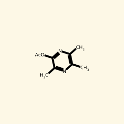 CC(=O)Oc1nc(C)c(C)nc1C